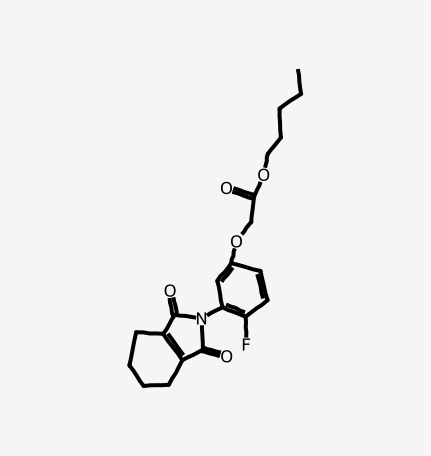 CCCCCOC(=O)COc1ccc(F)c(N2C(=O)C3=C(CCCC3)C2=O)c1